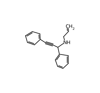 C=CCNC(C#Cc1ccccc1)c1ccccc1